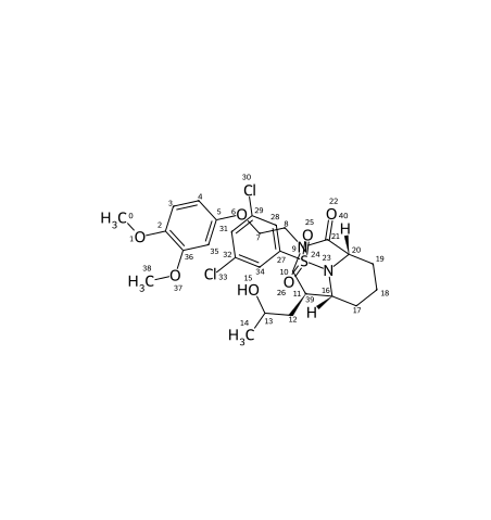 COc1ccc(OCCN2C[C@H](CC(C)O)[C@H]3CCC[C@@H](C2=O)N3S(=O)(=O)c2cc(Cl)cc(Cl)c2)cc1OC